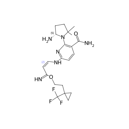 CC1(C)CC[C@@H](N)N1c1nc(N/C=C\C(=N)OCCC2(C(F)(F)F)CC2)ccc1C(N)=O